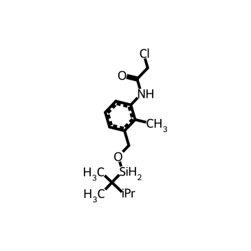 Cc1c(CO[SiH2]C(C)(C)C(C)C)cccc1NC(=O)CCl